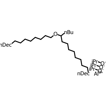 CC(C)[O-].CC(C)[O-].CC(C)[O-].CCCCCCCCCCCCCCCCCCOC(CCCC)CCCCCCCCCCCCCCCCCC.[Al+3]